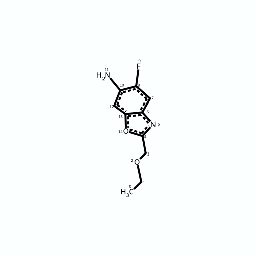 CCOCc1nc2cc(F)c(N)cc2o1